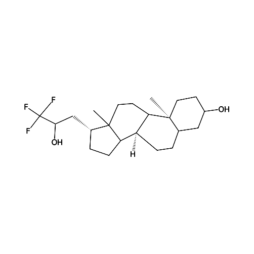 CC12CCC3[C@@H](CCC4CC(O)CC[C@@]43C)C1CC[C@@H]2CC(O)C(F)(F)F